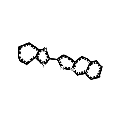 c1ccc2cn3nc(-c4nc5ccccc5s4)cc3cc2c1